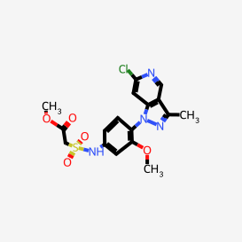 COC(=O)CS(=O)(=O)Nc1ccc(-n2nc(C)c3cnc(Cl)cc32)c(OC)c1